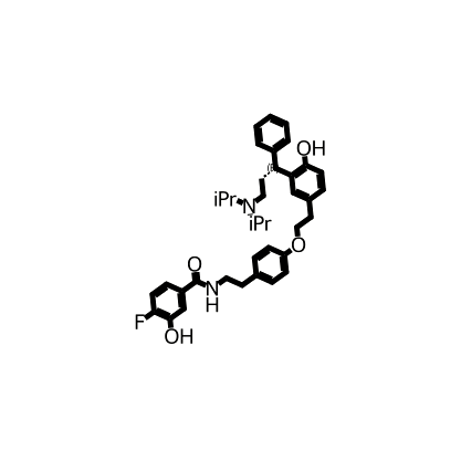 CC(C)N(CC[C@H](c1ccccc1)c1cc(CCOc2ccc(CCNC(=O)c3ccc(F)c(O)c3)cc2)ccc1O)C(C)C